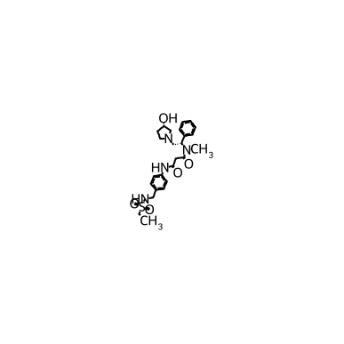 CCS(=O)(=O)NCc1ccc(NC(=O)CC(=O)N(C)[C@H](CN2CC[C@H](O)C2)c2ccccc2)cc1